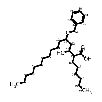 CCCCCCCCCCCC(CC(O)C(CCCCCC)C(=O)O)OCc1ccccc1